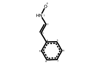 [O]NC=Cc1ccccc1